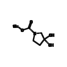 CC(C)(C)OC(=O)N1CCC(O)(O)C1